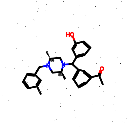 CC(=O)c1cccc(C(c2cccc(O)c2)N2C[C@@H](C)N(Cc3cccc(C)c3)C[C@@H]2C)c1